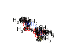 C=C1C[C@@H](CO[Si](C)(C)C(C)(C)C)N(C(=O)c2cc(OC)c(OCCCCCOc3cc(NC(=O)OCC4(SSCC)CCCC4)c(C(=O)N4CC(=C)C[C@H]4CO[Si](C)(C)C(C)(C)C)cc3OC)cc2N)C1